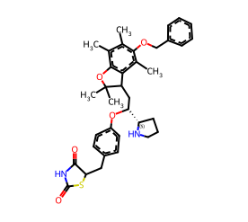 Cc1c(C)c2c(c(C)c1OCc1ccccc1)C(CC(Oc1ccc(CC3SC(=O)NC3=O)cc1)[C@@H]1CCCN1)C(C)(C)O2